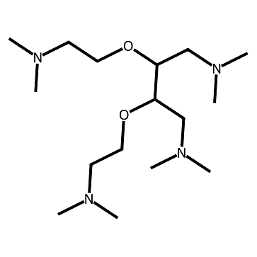 CN(C)CCOC(CN(C)C)C(CN(C)C)OCCN(C)C